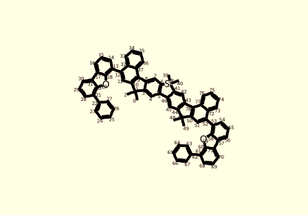 CC1(C)c2cc3c(cc2-c2c1cc(-c1cccc4c1oc1c(-c5ccccc5)cccc14)c1ccccc21)[Si](C)(C)c1cc2c(cc1-3)C(C)(C)c1cc(-c3cccc4c3oc3c(-c5ccccc5)cccc34)c3ccccc3c1-2